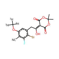 [2H]C([2H])([2H])Oc1cc(CC(O)=C2C(=O)OC(C)(C)OC2=O)c(Br)c(F)c1C#N